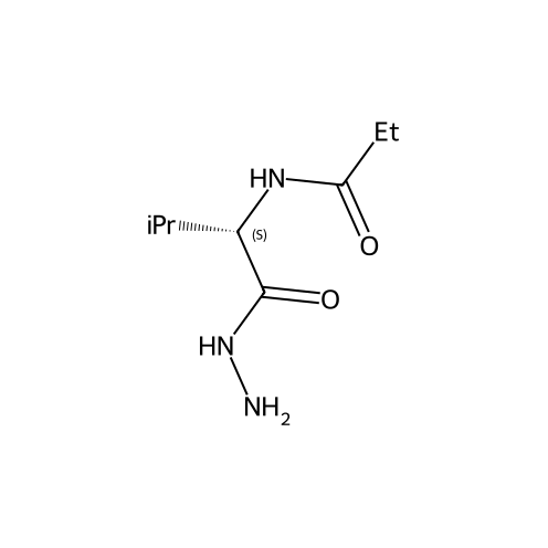 CCC(=O)N[C@H](C(=O)NN)C(C)C